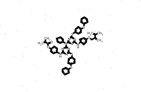 C=C(C)C(=C)COc1ccc(Nc2nc(Sc3ccc(Sc4ccccc4)cc3)nc(N(c3ccccc3)c3nc(Nc4ccc(OC(=O)C(=C)C)cc4)nc(Sc4ccc(Sc5ccccc5)cc4)n3)n2)cc1